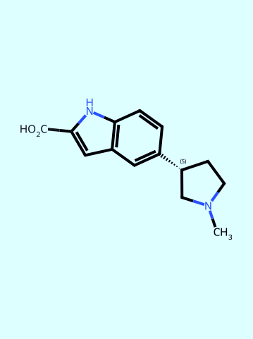 CN1CC[C@@H](c2ccc3[nH]c(C(=O)O)cc3c2)C1